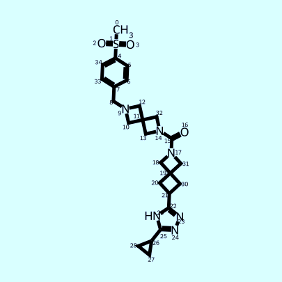 CS(=O)(=O)c1ccc(CN2CC3(C2)CN(C(=O)N2CC4(CC(c5nnc(C6CC6)[nH]5)C4)C2)C3)cc1